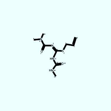 C=CCSC(=NC(=O)N(C)C)NC(=O)NC